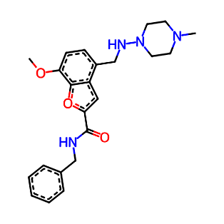 COc1ccc(CNN2CCN(C)CC2)c2cc(C(=O)NCc3ccccc3)oc12